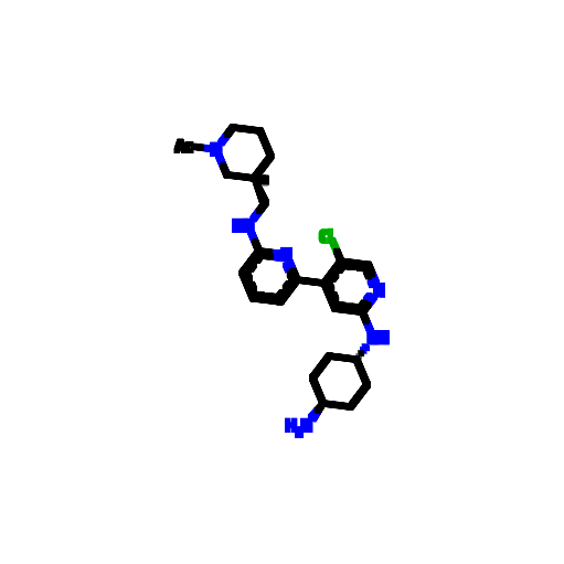 CC(=O)N1CCC[C@@H](CNc2cccc(-c3cc(N[C@H]4CC[C@H](N)CC4)ncc3Cl)n2)C1